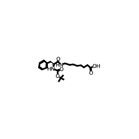 CC(C)(C)OC(=O)N[C@@H](Cc1ccccc1)C(=O)NCCCCCCCC(=O)O